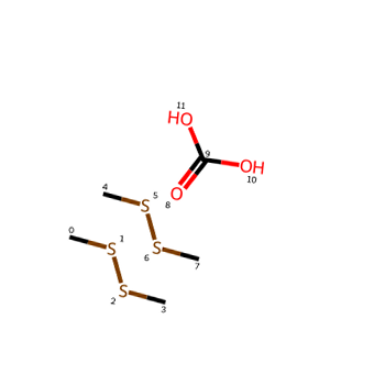 CSSC.CSSC.O=C(O)O